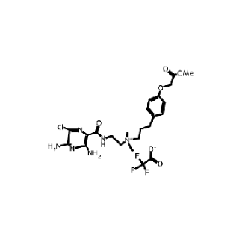 COC(=O)COc1ccc(CCC[N+](C)(C)CCNC(=O)c2nc(Cl)c(N)nc2N)cc1.O=C([O-])C(F)(F)F